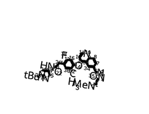 CNCc1nnc(-c2ccc3nccc(Oc4cc(F)c(CC(=O)Nc5cnn(C(C)(C)C)c5)cc4C)c3c2)o1